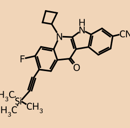 C[Si](C)(C)C#Cc1cc2c(=O)c3c4ccc(C#N)cc4[nH]c3n(C3CCC3)c2cc1F